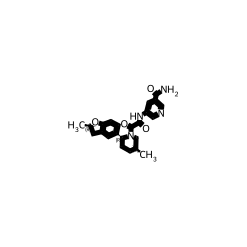 C[C@H]1CC[C@H](c2ccc3c(c2)C[C@@H](C)O3)N(C(=O)C(=O)Nc2cncc(C(N)=O)c2)C1